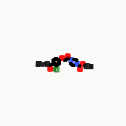 COC(=O)c1ccc(OCC(=O)N2CCN(C(=O)OC(C)(C)C)CC2)cc1Cl